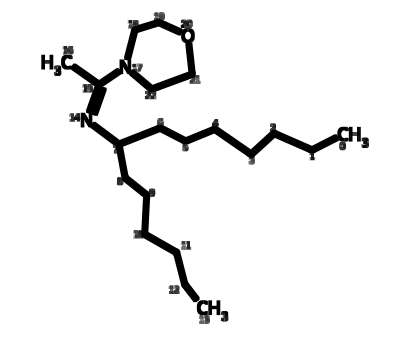 CCCCCCCC(CCCCCC)/N=C(/C)N1CCOCC1